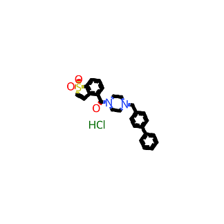 Cl.O=C(c1cccc2c1C=CS2(=O)=O)N1CCN(Cc2ccc(-c3ccccc3)cc2)CC1